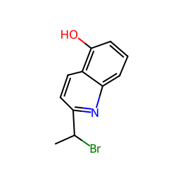 CC(Br)c1ccc2c(O)cccc2n1